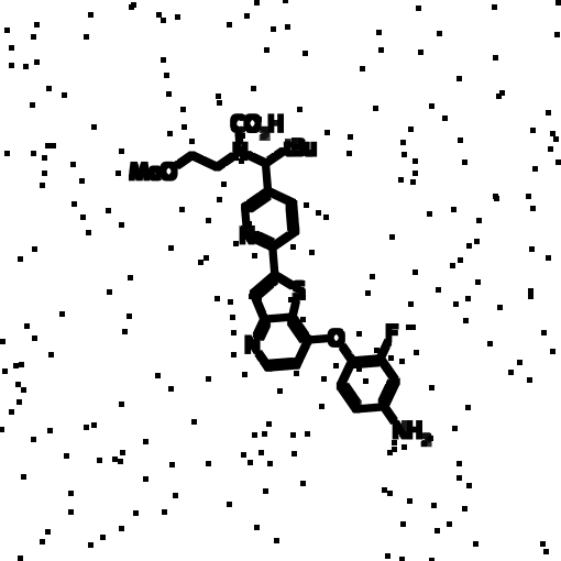 COCCN(C(=O)O)C(c1ccc(-c2cc3nccc(Oc4ccc(N)cc4F)c3s2)nc1)C(C)(C)C